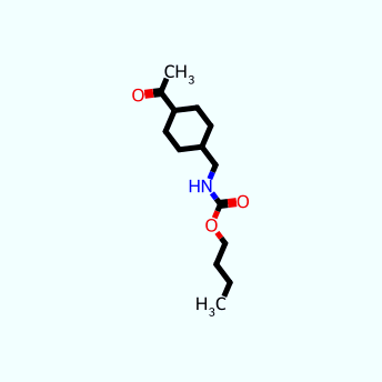 CCCCOC(=O)NCC1CCC(C(C)=O)CC1